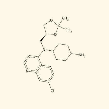 CC1(C)OC[C@H](CN(c2ccnc3cc(Cl)ccc23)C2CCC(N)CC2)O1